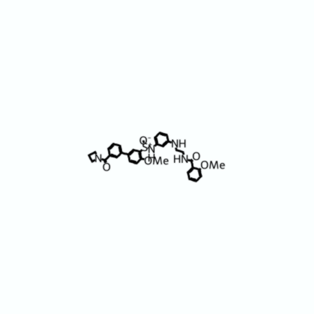 COc1ccccc1C(=O)NCCNc1cccc(N[S+]([O-])c2cc(-c3cccc(C(=O)N4CCC4)c3)ccc2OC)c1